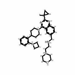 CC1(c2nc(N3CCC(c4ccccc4N4CCC4)CC3)c3cc(CNCCN4CCOCC4)ccc3n2)CC1